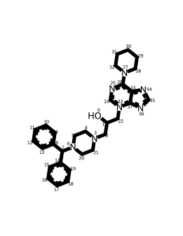 OC(CN1CCN(C(c2ccccc2)c2ccccc2)CC1)Cn1cnc(N2CCCCC2)c2ncnc1-2